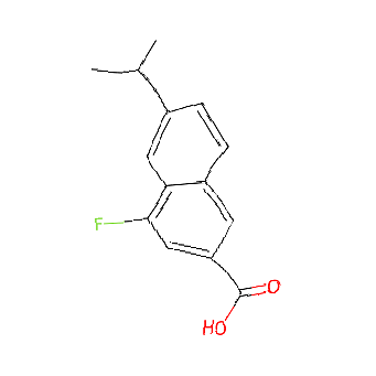 CC(C)c1ccc2cc(C(=O)O)cc(F)c2c1